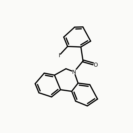 O=C(c1ccccc1I)N1Cc2ccccc2-c2ccccc21